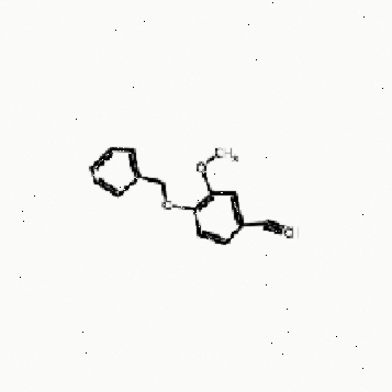 C#Cc1ccc(OCc2ccccc2)c(OC)c1